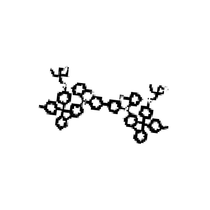 CCC1(COc2ccc(C3(c4ccc(C)cc4)c4ccccc4-c4ccc(N(c5ccc(-c6ccc(N(c7ccc8c(c7)C(c7ccc(C)cc7)(c7ccc(OCC9(CC)COC9)cc7)c7ccccc7-8)c7ccccc7F)cc6)cc5)c5ccccc5F)cc43)cc2)COC1